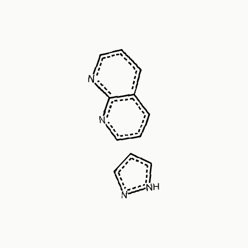 c1cn[nH]c1.c1cnc2ncccc2c1